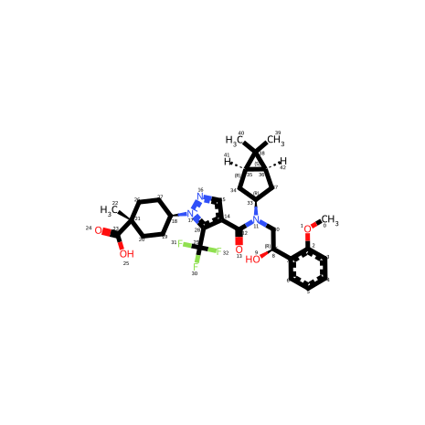 COc1ccccc1[C@@H](O)CN(C(=O)c1cnn([C@H]2CC[C@](C)(C(=O)O)CC2)c1C(F)(F)F)[C@H]1C[C@@H]2[C@H](C1)C2(C)C